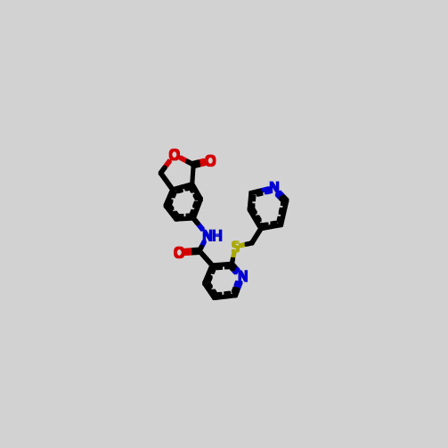 O=C1OCc2ccc(NC(=O)c3cccnc3SCc3ccncc3)cc21